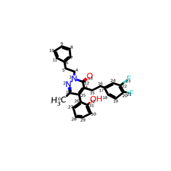 Cc1nn(CCc2ccccc2)c(=O)c(CCc2ccc(F)c(F)c2)c1-c1ccccc1O